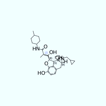 C/C(C(=O)NC1CCC(C)CC1)=C(/O)[C@@H]1Oc2c(O)ccc3c2[C@@]12CCN(CC1CC1)[C@H](C3)[C@@]2(C)O